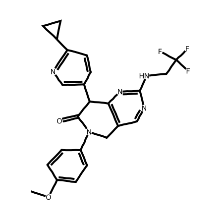 COc1ccc(N2Cc3cnc(NCC(F)(F)F)nc3C(c3ccc(C4CC4)nc3)C2=O)cc1